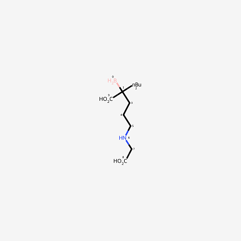 BC(CCCC)(CCCNCC(=O)O)C(=O)O